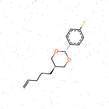 C=CCCC[C@H]1CO[C@H](c2ccc(F)cc2)OC1